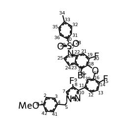 COc1ccc(Cn2cc(F)c(-c3ccc(F)c(Oc4c(F)cc5c(ccn5S(=O)(=O)c5ccc(C)cc5)c4Br)c3)n2)cc1